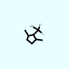 CC1CCC(C)C1C(F)(F)F